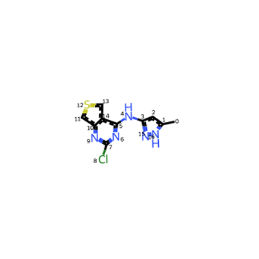 Cc1cc(Nc2nc(Cl)nc3cscc23)n[nH]1